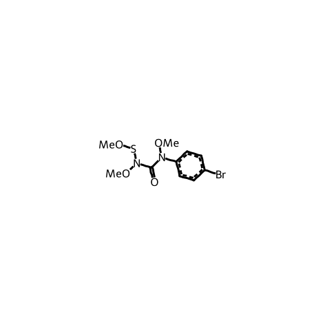 COSN(OC)C(=O)N(OC)c1ccc(Br)cc1